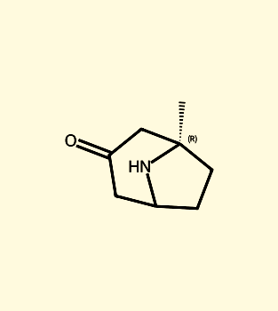 C[C@@]12CCC(CC(=O)C1)N2